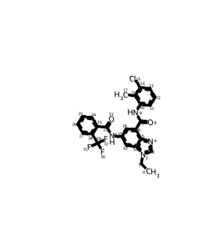 CCn1cnc2c(C(=O)Nc3cccc(Cl)c3C)cc(NC(=O)c3ccccc3C(F)(F)F)cc21